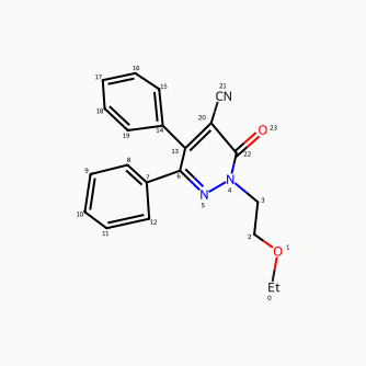 CCOCCn1nc(-c2ccccc2)c(-c2ccccc2)c(C#N)c1=O